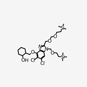 C[Si](C)(C)CCOCOCc1nc2c(OCC3CCCCC3O)c(Cl)c(Cl)cc2n1COCC[Si](C)(C)C